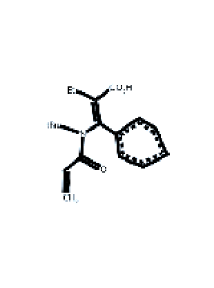 C=CC(=O)N(C(=C(CC)C(=O)O)c1ccccc1)C(C)(C)C